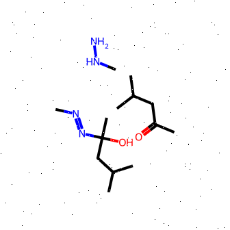 CC(=O)CC(C)C.CN=NC(C)(O)CC(C)C.CNN